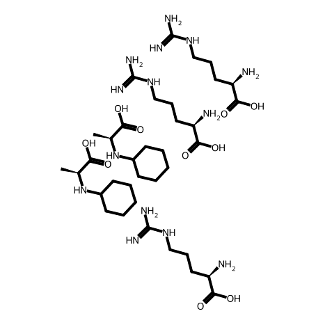 C[C@H](NC1CCCCC1)C(=O)O.C[C@H](NC1CCCCC1)C(=O)O.N=C(N)NCCC[C@@H](N)C(=O)O.N=C(N)NCCC[C@@H](N)C(=O)O.N=C(N)NCCC[C@@H](N)C(=O)O